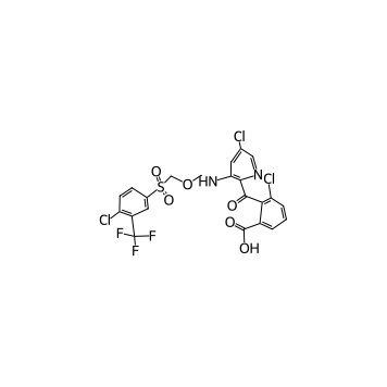 O=C(O)c1cccc(Cl)c1C(=O)c1ncc(Cl)cc1NCOCS(=O)(=O)c1ccc(Cl)c(C(F)(F)F)c1